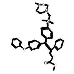 COC(=O)CC/C(=C(\c1ccc(Oc2ccccc2)cc1)c1ccc([Si](C)(C)CN2CCN(C)CC2)cc1)c1ccccc1